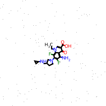 CCn1cc(C(=O)O)c(=O)c2c(N)c(F)c(N3CCC(CNC4CC4)C3)c(F)c21